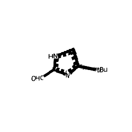 CC(C)(C)c1c[nH]c(C=O)n1